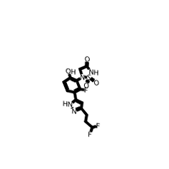 O=C1CN(c2c(O)ccc(-c3cc(CCC(F)F)n[nH]3)c2F)S(=O)(=O)N1